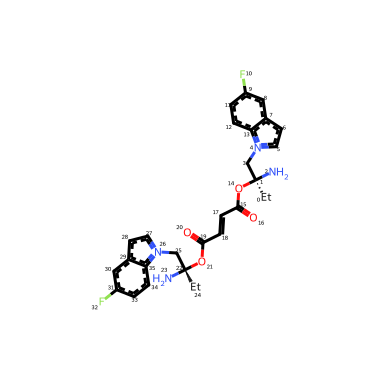 CC[C@@](N)(Cn1ccc2cc(F)ccc21)OC(=O)/C=C/C(=O)O[C@@](N)(CC)Cn1ccc2cc(F)ccc21